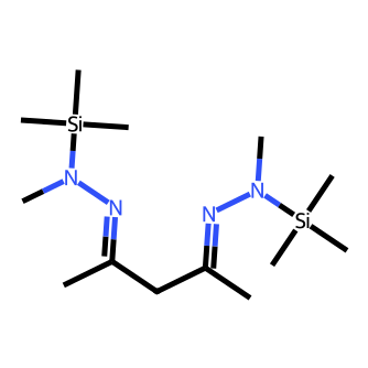 CC(CC(C)=NN(C)[Si](C)(C)C)=NN(C)[Si](C)(C)C